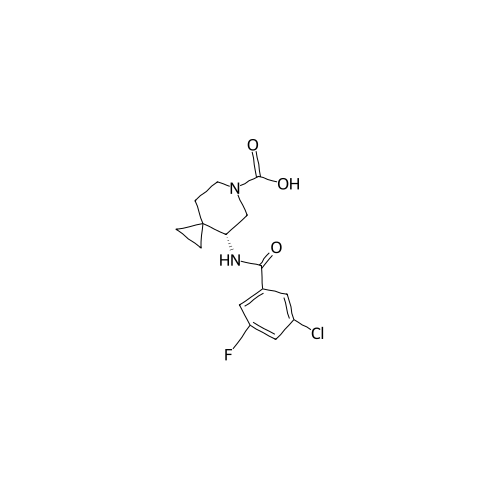 O=C(N[C@H]1CN(C(=O)O)CCC12CC2)c1cc(F)cc(Cl)c1